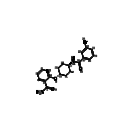 NC(=O)c1cccnc1O[C@H]1CC[C@H](NC(=O)c2cccc(Br)c2)CC1